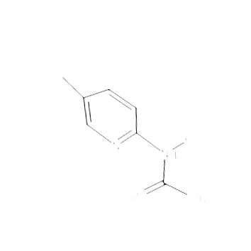 Cc1ccc([NH+]([O-])C(=O)C(C)(C)C)nc1